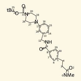 CNC(=O)CCc1ccc(C(=O)NCc2cccc(N3CCN(C(=O)OC(C)(C)C)CC3)c2)cc1